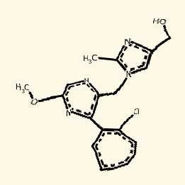 COc1cnc(Cn2cc(CO)nc2C)c(-c2ccccc2Cl)n1